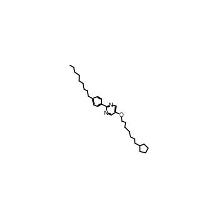 CCCCCCCCCc1ccc(-c2ncc(OCCCCCCCC3CCCC3)cn2)cc1